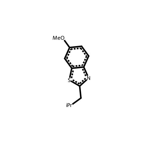 COc1ccc2nc(CC(C)C)sc2c1